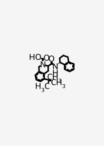 CC(C)(C)c1cccc2c1CC(C(=O)N[C@@H]1CCCc3ccccc31)N(C(=O)O)C2